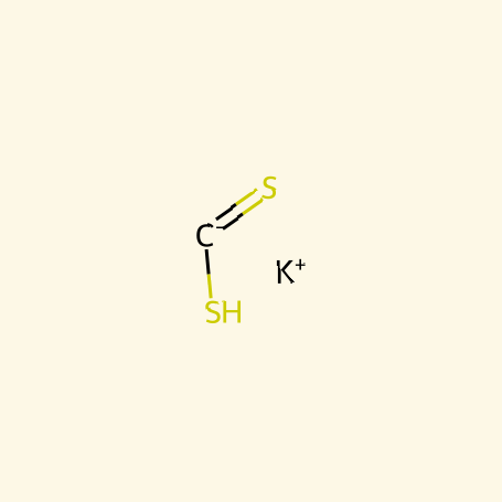 S=[C-]S.[K+]